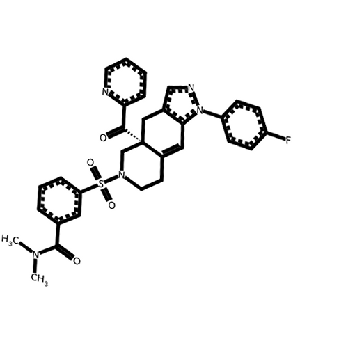 CN(C)C(=O)c1cccc(S(=O)(=O)N2CCC3=Cc4c(cnn4-c4ccc(F)cc4)C[C@]3(C(=O)c3ccccn3)C2)c1